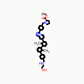 Cc1c(-c2ccc(CNCCO)cc2)cccc1-c1cccc(-c2ccn3c(-c4ccc(CN5CCC[C@@H]5C(=O)OC(C)(C)C)cc4)nnc3c2)c1C